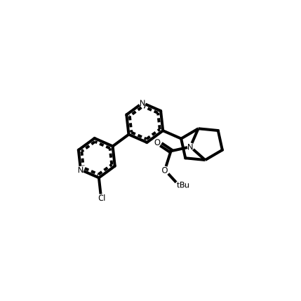 CC(C)(C)OC(=O)N1C2CCC1C(c1cncc(-c3ccnc(Cl)c3)c1)C2